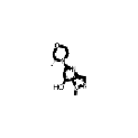 C[C@@H]1COCCN1c1cc(O)c2c(cnn2C)n1